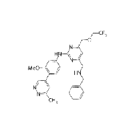 COc1cc(Nc2nc(CNCC3=CCCC=C3)cc(COCC(F)(F)F)n2)ccc1-c1cnnc(C)c1